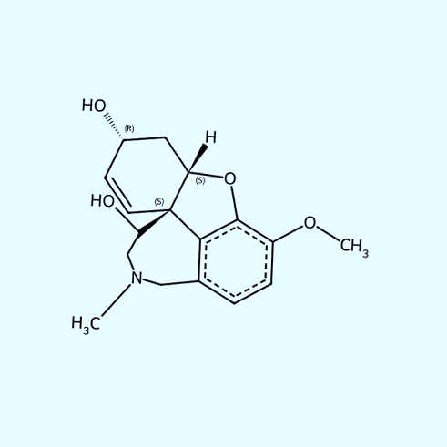 COc1ccc2c3c1O[C@H]1C[C@@H](O)C=C[C@@]31C(O)CN(C)C2